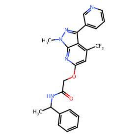 CC(NC(=O)COc1cc(C(F)(F)F)c2c(-c3cccnc3)nn(C)c2n1)c1ccccc1